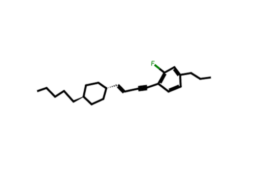 CCCCC[C@H]1CC[C@H](C=CC#Cc2ccc(CCC)cc2F)CC1